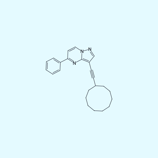 C(#CC1CCCCCCCCC1)c1cnn2ccc(-c3ccccc3)nc12